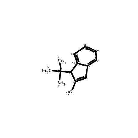 CC(C)(C)C1C(O)=Cc2ccccc21